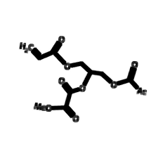 C=CC(=O)OCC(COC(=O)C(C)=O)OC(=O)C(=O)OC